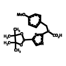 COc1ccc(CN(C(=O)O)c2ncc(B3OC(C)(C)C(C)(C)O3)s2)cc1